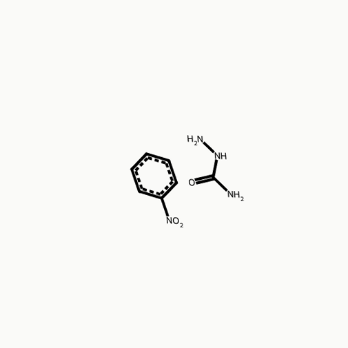 NNC(N)=O.O=[N+]([O-])c1ccccc1